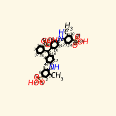 Cc1cc(S(=O)(=O)O)ccc1Nc1ccc(C(c2ccc(Nc3ccc(S(=O)(=O)O)cc3C)cc2)c2ccccc2S(=O)(=O)O)cc1